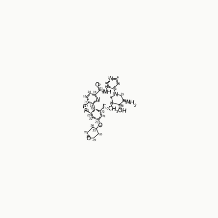 C[C@H]1CN(c2ccncc2NC(=O)c2ccc(F)c(-c3c(F)cc(OC4CCOCC4)cc3F)n2)C[C@@H](N)[C@@H]1O